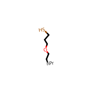 CCCCCOCCCS